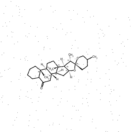 CC1CC[C@@]2(OC1)O[C@H]1C[C@H]3[C@@H]4CC(=O)C5CCCC[C@]5(C)[C@H]4CC[C@]3(C)[C@H]1[C@@H]2C